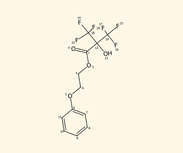 O=C(OCCOc1ccccc1)C(O)(C(F)(F)F)C(F)(F)F